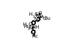 CC(=O)N1CCC(C(=O)NC2CC(c3ccc4c(n3)n(C)c(=O)n4CC(C)(C)C)CCC2(C)C)CC1